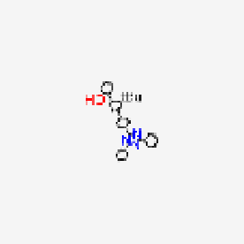 CC(C)(C)c1cc(-c2ccc(-c3nc(-c4ccccc4)nc(-c4ccccc4)n3)cc2)ccc1-c1ccccc1O